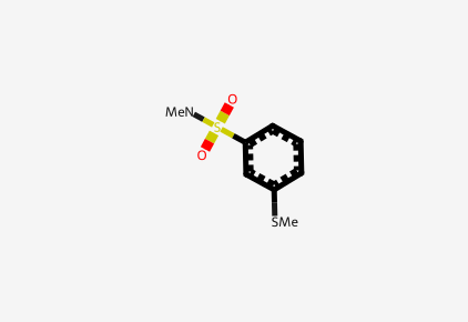 CNS(=O)(=O)c1cccc(SC)c1